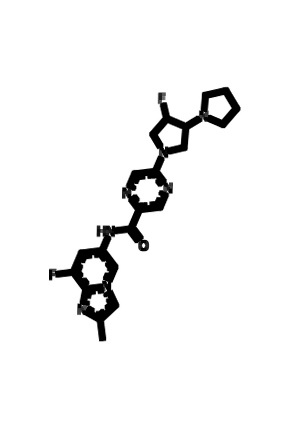 Cc1cn2cc(NC(=O)c3cnc(N4CC(F)C(N5CCCC5)C4)cn3)cc(F)c2n1